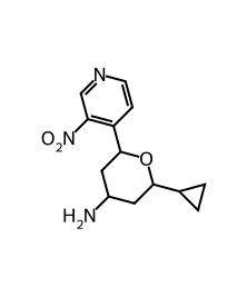 NC1CC(c2ccncc2[N+](=O)[O-])OC(C2CC2)C1